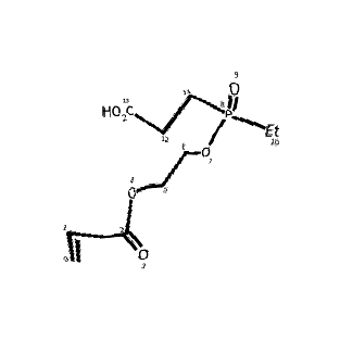 C=CC(=O)OCCOP(=O)(CC)CCC(=O)O